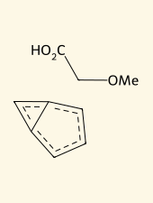 COCC(=O)O.c1cc2cc-2c1